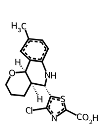 Cc1ccc2c(c1)[C@@H]1OCCC[C@@H]1[C@@H](c1sc(C(=O)O)nc1Cl)N2